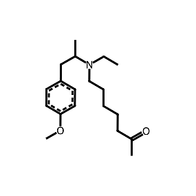 CCN(CCCCCC(C)=O)C(C)Cc1ccc(OC)cc1